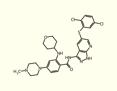 CN1CCN(c2ccc(C(=O)Nc3n[nH]c4ncc(Sc5cc(Cl)ccc5Cl)cc34)c(NC3CCOCC3)c2)CC1